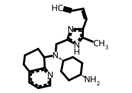 C#C/C=C\c1nc(CN(C2CCCc3cccnc32)[C@H]2CC[C@@H](N)CC2)[nH]c1C